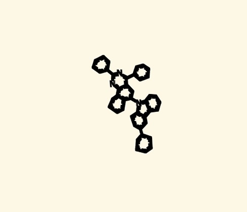 c1ccc(-c2ccc3c(c2)c2ccccc2n3-c2cc3c(-c4ccccc4)nc(-c4ccccc4)nc3c3ccccc23)cc1